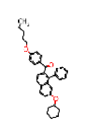 CCCCCOc1ccc(C(=O)c2ccc3ccc(OC4CCCCC4)cc3c2-c2ccccc2)cc1